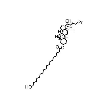 CC(C)CCC[C@@H](C)[C@H]1CC[C@H]2[C@@H]3CC=C4CC(OC(=O)CCCCCCCCCCCCCCCCCO)CC[C@]4(C)[C@H]3CC[C@]12C